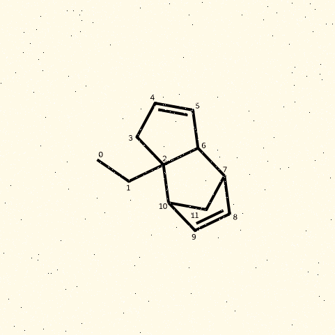 CCC12CC=CC1C1C=CC2C1